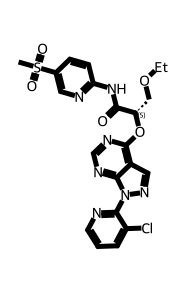 CCOC[C@H](Oc1ncnc2c1cnn2-c1ncccc1Cl)C(=O)Nc1ccc(S(C)(=O)=O)cn1